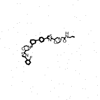 C=CCNC(=O)CN1CCOC(c2nc(-c3ccc(-c4cccc(CN5CCOC(c6nc(-c7ccccc7F)cs6)C5)c4)cc3)cs2)C1